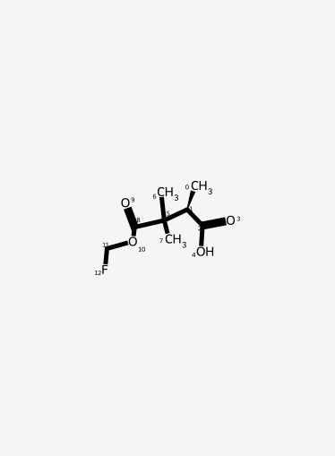 C[C@@H](C(=O)O)C(C)(C)C(=O)OCF